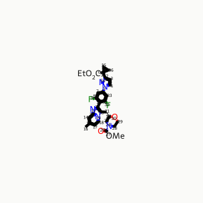 CCOC(=O)C1(c2ccn(-c3cc(F)c(-c4nc5cc(C)ccn5c4C[C@H]4CN(C(=O)OC)CCO4)c(F)c3)n2)CC1